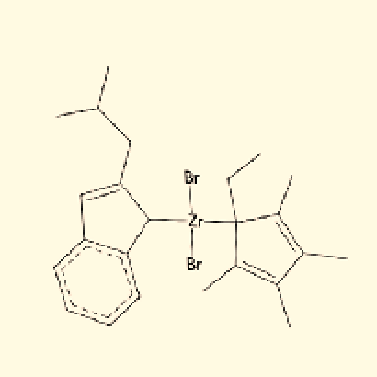 CC[C]1([Zr]([Br])([Br])[CH]2C(CC(C)C)=Cc3ccccc32)C(C)=C(C)C(C)=C1C